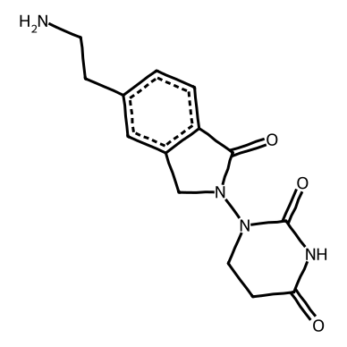 NCCc1ccc2c(c1)CN(N1CCC(=O)NC1=O)C2=O